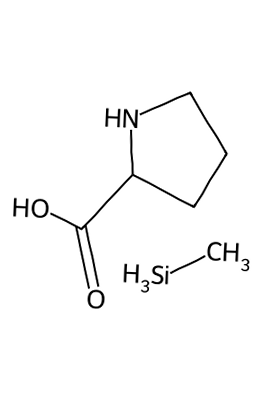 C[SiH3].O=C(O)C1CCCN1